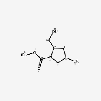 CC(C)(C)OC(=O)N1CC(C(F)(F)F)CC1CO